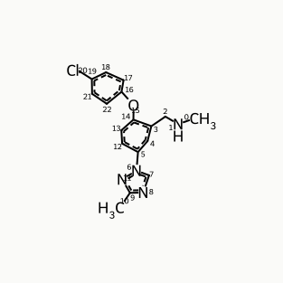 CNCc1cc(-n2cnc(C)n2)ccc1Oc1ccc(Cl)cc1